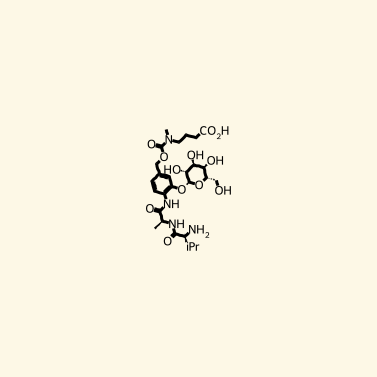 CC(C)[C@H](N)C(=O)N[C@@H](C)C(=O)Nc1ccc(COC(=O)N(C)CCCC(=O)O)cc1O[C@H]1O[C@@H](CO)[C@H](O)[C@H](O)[C@H]1O